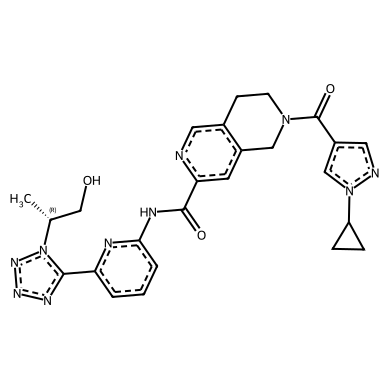 C[C@H](CO)n1nnnc1-c1cccc(NC(=O)c2cc3c(cn2)CCN(C(=O)c2cnn(C4CC4)c2)C3)n1